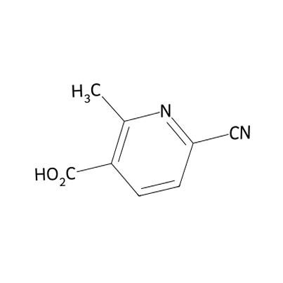 Cc1nc(C#N)ccc1C(=O)O